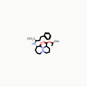 CCOC(=O)[C@H](CCc1ccccc1)N[C@H]1CCCN2CCCC(C(=O)O[C@@H](C)OC(C)=O)N2C1=O